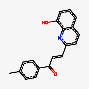 Cc1ccc(C(=O)C=Cc2ccc3cccc(O)c3n2)cc1